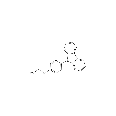 OCOc1ccc(-[s+]2c3ccccc3c3ccccc32)cc1